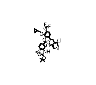 COc1ccc(C(=O)OC(Cc2c(Cl)cncc2Cl)c2ccc(OC(F)F)c(OCC3CC3)c2)cc1NC(=O)OC(C)(C)C